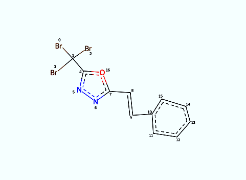 BrC(Br)(Br)c1nnc(/C=C/c2ccccc2)o1